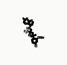 COc1cc(Cl)ccc1C(C)(C)CC(O)(CNc1ccnc2nc(C)ccc12)C(F)(F)F